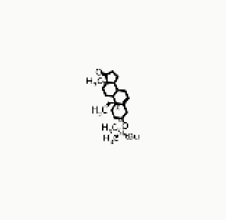 C=C[C@]12CC[C@H](O[Si](C)(C)C(C)(C)C)CC1=CCC1C2CC[C@]2(C)C(=O)CCC12